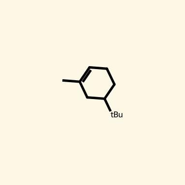 CC1=CCC[C](C(C)(C)C)C1